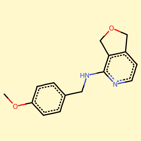 COc1ccc(CNc2nccc3c2COC3)cc1